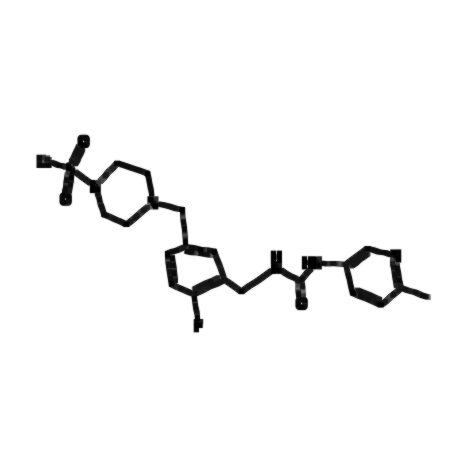 CCS(=O)(=O)N1CCN(Cc2ccc(F)c(CNC(=O)Nc3ccc(C)nc3)c2)CC1